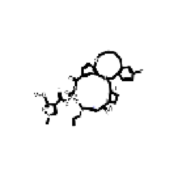 C=CC[C@@H]1/C=C/C(=O)[C@@H]2CC[C@H]2CN2Cc3ccc(Cl)cc3CCCCOc3ccc(cc32)C(=O)N=[S@](=O)(NC(=O)c2cn(C)nc2OC)C1